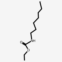 [CH2]CCCCCCNC(=O)OCC